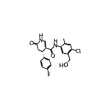 Cc1cc(Cl)c(CO)cc1NC(=O)C1=CNC(=O)C[C@H]1c1ccc(F)cc1